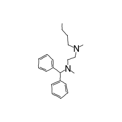 CCCCN(C)CCN(C)C(c1ccccc1)c1ccccc1